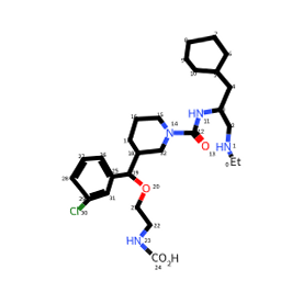 CCNCC(CC1CCCCC1)NC(=O)N1CCCC(C(OCCNC(=O)O)c2cccc(Cl)c2)C1